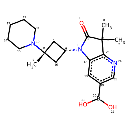 CC1(C)C(=O)N([C@H]2C[C@@](C)(N3CCCCC3)C2)c2cc(B(O)O)cnc21